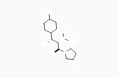 C[C@@H](C1CCC(O)CC1)[C@@H](C(=O)N1CC[C@H](F)C1)N(C(=O)O)C(C)(C)C